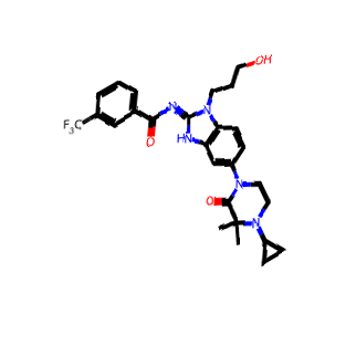 CC1(C)C(=O)N(c2ccc3c(c2)[nH]/c(=N\C(=O)c2cccc(C(F)(F)F)c2)n3CCCO)CCN1C1CC1